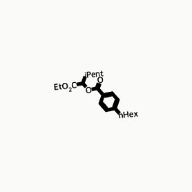 CCCCCCc1ccc(C(=O)OC(C(=O)OCC)C(C)CCC)cc1